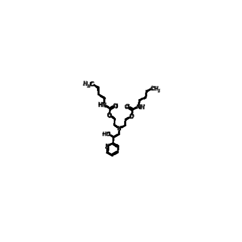 CCCCNC(=O)OCCN(CCOC(=O)NCCCC)CC(O)c1ccccn1